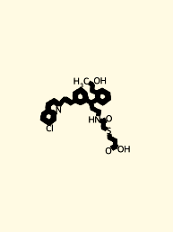 CC(O)Cc1ccccc1C(CCNC(=O)CSCCC(=O)O)c1cccc(C=Cc2ccc3ccc(Cl)cc3n2)c1